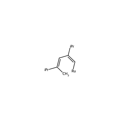 CC(=CC(=[CH][Ru])C(C)C)C(C)C